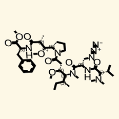 CC[C@H](C)[C@@H]([C@@H](CC(=O)N1CCC[C@H]1[C@H](OC)[C@@H](C)C(=O)N[C@@H](Cc1ccccc1)C(=O)OC)OC)N(C)C(=O)[C@H](CN=[N+]=[N-])NC(=O)[C@H](C(C)C)N(C)C